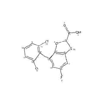 O=C(O)C1Oc2c(cc(F)cc2-c2c(Cl)cccc2Cl)S1